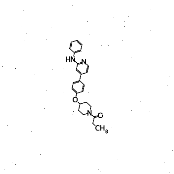 CCC(=O)N1CCC(Oc2ccc(-c3ccnc(Nc4ccccc4)c3)cc2)CC1